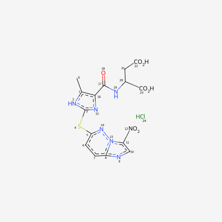 Cc1[nH]c(Sc2ccc3ncc([N+](=O)[O-])n3n2)nc1C(=O)NC(CC(=O)O)C(=O)O.Cl